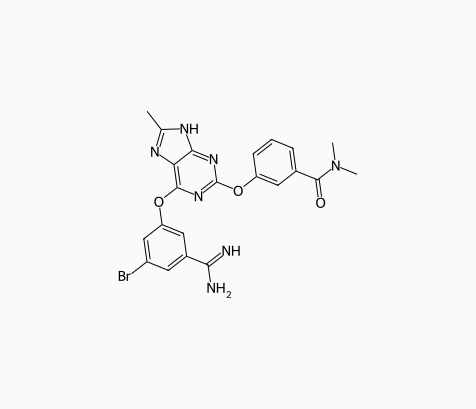 Cc1nc2c(Oc3cc(Br)cc(C(=N)N)c3)nc(Oc3cccc(C(=O)N(C)C)c3)nc2[nH]1